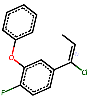 C/C=C(/Cl)c1ccc(F)c(Oc2ccccc2)c1